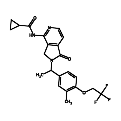 Cc1cc(C(C)N2Cc3c(ccnc3NC(=O)C3CC3)C2=O)ccc1OCC(F)(F)F